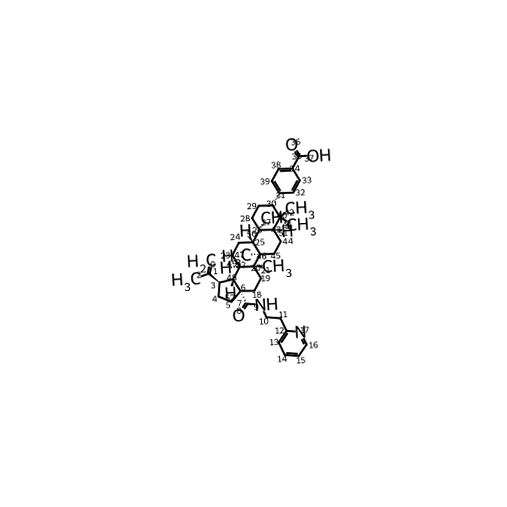 C=C(C)[C@@H]1CC[C@]2(C(=O)NCCc3ccccn3)CC[C@]3(C)[C@H](CC[C@@H]4[C@@]5(C)CC[C@H](c6ccc(C(=O)O)cc6)C(C)(C)[C@@H]5CC[C@]43C)[C@@H]12